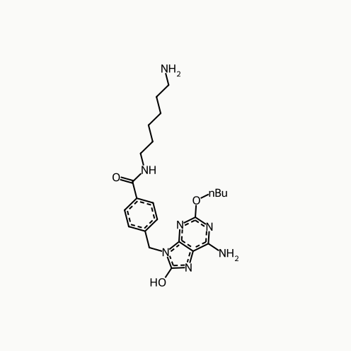 CCCCOc1nc(N)c2nc(O)n(Cc3ccc(C(=O)NCCCCCCN)cc3)c2n1